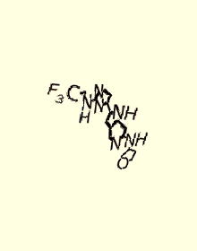 FC(F)(F)CNc1nccc(-c2cc3cnc(N[C@H]4CCOC4)cc3[nH]2)n1